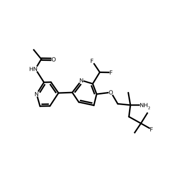 CC(=O)Nc1cc(-c2ccc(OCC(C)(N)CC(C)(C)F)c(C(F)F)n2)ccn1